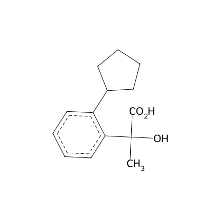 CC(O)(C(=O)O)c1ccccc1C1CCCC1